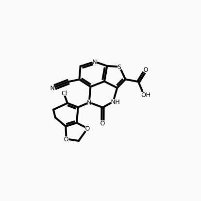 N#Cc1cnc2sc(C(=O)O)c3c2c1N(C1=C(Cl)CCC2=C1OCO2)C(=O)N3